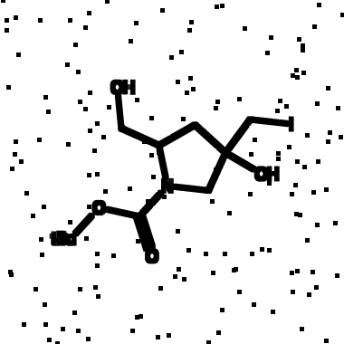 CC(C)(C)OC(=O)N1CC(O)(CI)CC1CO